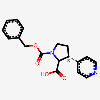 O=C(O)C1[C@@H](c2ccncc2)CCN1C(=O)OCc1ccccc1